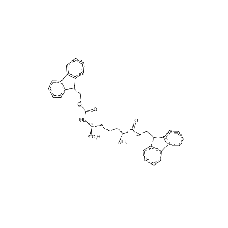 NC(CCC[C@H](NC(=O)OCC1c2ccccc2-c2ccccc21)C(=O)O)C(=O)OCC1c2ccccc2-c2ccccc21